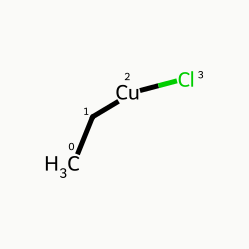 C[CH2][Cu][Cl]